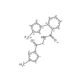 Cc1ccc(C(=O)CNC(=O)c2ccccc2-c2cc(C(F)(F)F)cs2)s1